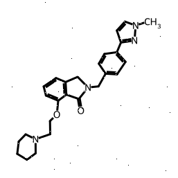 Cn1ccc(-c2ccc(CN3Cc4cccc(OCCN5CCCCC5)c4C3=O)cc2)n1